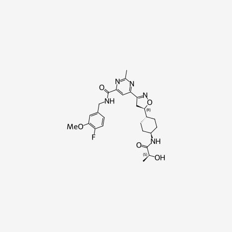 COc1cc(CNC(=O)c2cc(C3=NO[C@@H]([C@H]4CC[C@H](NC(=O)[C@H](C)O)CC4)C3)nc(C)n2)ccc1F